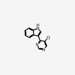 Clc1cncnc1-c1c[nH]c2ccccc12